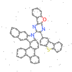 c1ccc2cc3c(cc2c1)c1c2c4ccccc4c4ccccc4c2ccc1n3-c1nc2c(nc1-c1ccc3sc4ccccc4c3c1)oc1ccccc12